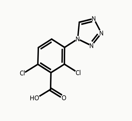 O=C(O)c1c(Cl)ccc(-n2cnnn2)c1Cl